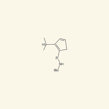 C[SiH](C)C1=[C]([Zr][NH]C(C)(C)C)CC=C1